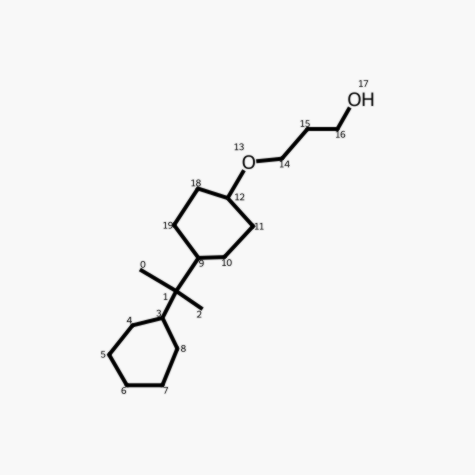 CC(C)(C1CCCCC1)C1CCC(OCCCO)CC1